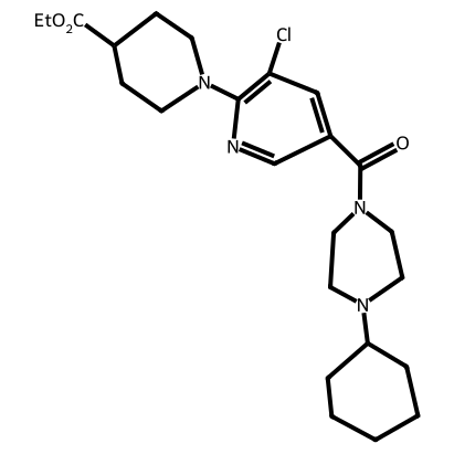 CCOC(=O)C1CCN(c2ncc(C(=O)N3CCN(C4CCCCC4)CC3)cc2Cl)CC1